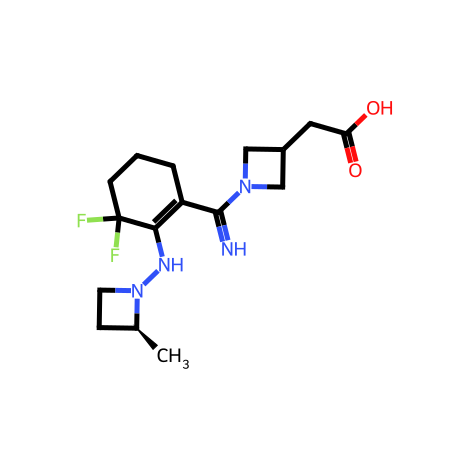 C[C@H]1CCN1NC1=C(C(=N)N2CC(CC(=O)O)C2)CCCC1(F)F